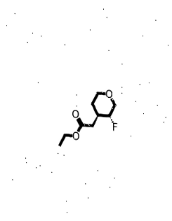 CCOC(=O)C[C@H]1CCOC[C@@H]1F